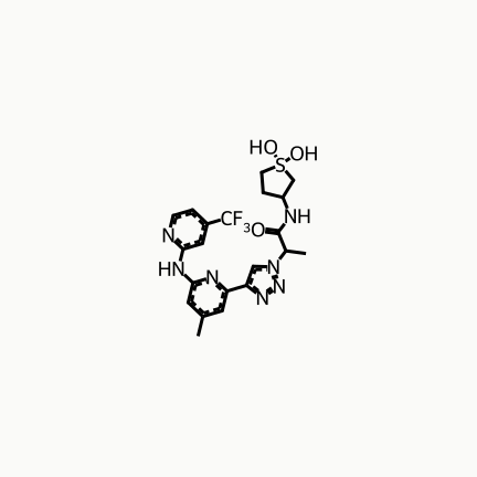 Cc1cc(Nc2cc(C(F)(F)F)ccn2)nc(-c2cn(C(C)C(=O)NC3CCS(O)(O)C3)nn2)c1